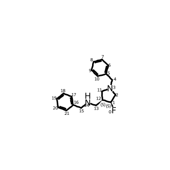 F[C@@H]1CN(Cc2ccccc2)C[C@@H]1CNCc1ccccc1